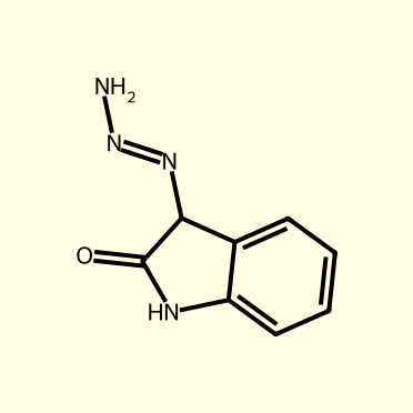 NN=NC1C(=O)Nc2ccccc21